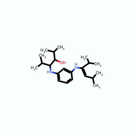 CC(C)C=C(Nc1cccc(NC(C(C)C)C(O)C(C)C)c1)C(C)C